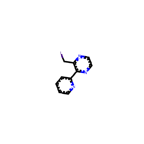 ICc1nccnc1-c1ccccn1